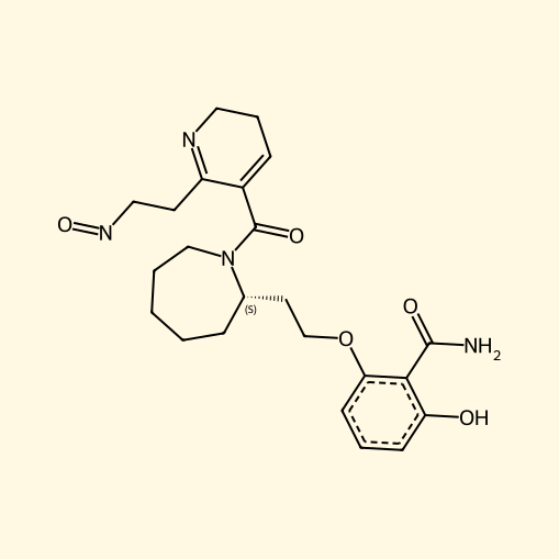 NC(=O)c1c(O)cccc1OCC[C@@H]1CCCCCN1C(=O)C1=CCCN=C1CCN=O